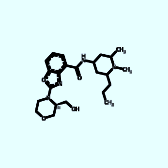 CCCC1CC(NC(=O)c2cccc3oc(N4CCOC[C@@H]4CO)nc23)CC(C)N1C